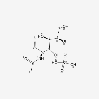 CC(=O)N[C@@H](C=O)[C@@H](O)[C@@H](O)[C@H](O)CO.O=S(=O)(O)O